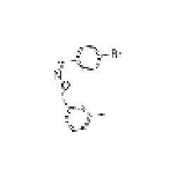 Cc1cccc(CO/N=[C]\c2ccc(Br)cc2)c1